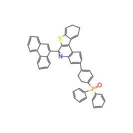 O=P(C1=CC=C(c2ccc3c(c2)nc(-c2cc4ccccc4c4ccccc24)c2sc4c(c23)=CCCC=4)CC1)(c1ccccc1)c1ccccc1